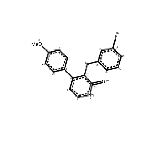 COc1ccc(-c2cc[nH]c(=O)c2Cc2cccc(F)c2)cc1